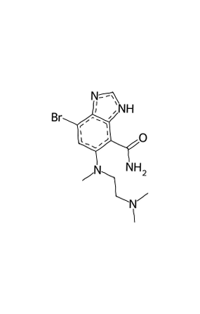 CN(C)CCN(C)c1cc(Br)c2nc[nH]c2c1C(N)=O